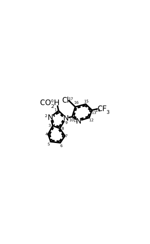 O=C(O)c1nc2ccccc2n1-c1ncc(C(F)(F)F)cc1Cl